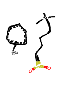 CC(C)(C)c1ccccc1.[CH3][Sn]([CH3])([CH3])[CH2]CCC=S(=O)=O